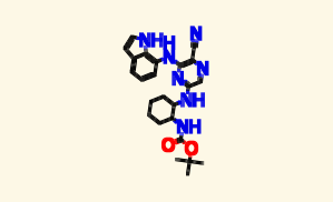 CC(C)(C)OC(=O)N[C@H]1CCCC[C@H]1Nc1cnc(C#N)c(Nc2cccc3cc[nH]c23)n1